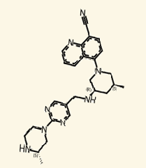 C[C@H]1C[C@@H](NCc2cnc(N3CCN[C@@H](C)C3)nc2)CN(c2ccc(C#N)c3ncccc23)C1